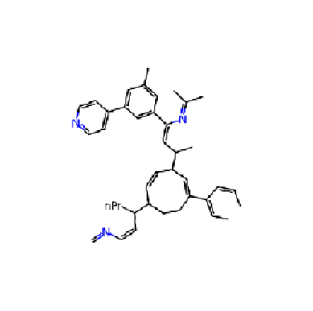 C=N/C=C\C(CCC)C1C=CC(C(C)/C=C(\N=C(C)C)c2cc(C)cc(-c3ccncc3)c2)/C=C(C(/C=C\C)=C/C)\CC1